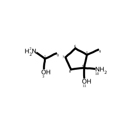 CC(N)O.CC1CCCC1(N)O